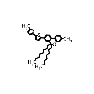 CCCCCCCCC1(CCCCCCCC)Oc2cc(C)ccc2-c2ccc(-c3ccc(-c4ccc(C)s4)s3)cc21